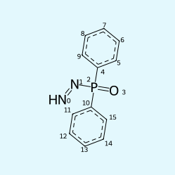 N=NP(=O)(c1ccccc1)c1ccccc1